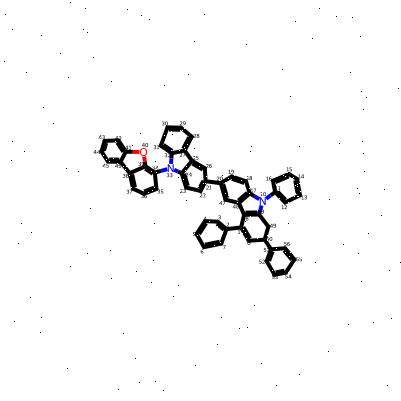 C1=C(c2ccccc2)c2c(n(-c3ccccc3)c3ccc(-c4ccc5c(c4)c4ccccc4n5-c4cccc5c4oc4ccccc45)cc23)CC1c1ccccc1